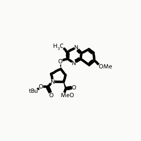 COC(=O)[C@@H]1C[C@@H](Oc2nc3cc(OC)ccc3nc2C)CN1C(=O)OC(C)(C)C